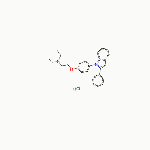 CCN(CC)CCOc1ccc(-n2c(-c3ccccc3)cc3ccccc32)cc1.Cl